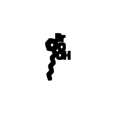 CCCCCCC(O)c1cccc(Br)c1OC